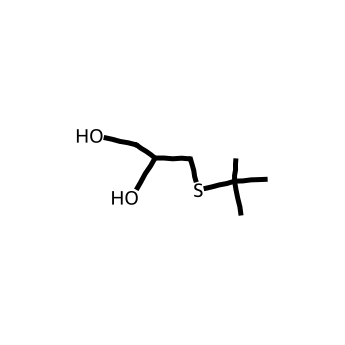 CC(C)(C)SCC(O)CO